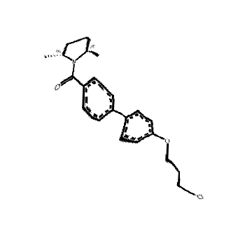 C[C@@H]1CC[C@@H](C)N1C(=O)c1ccc(-c2ccc(OCCCCl)cc2)cc1